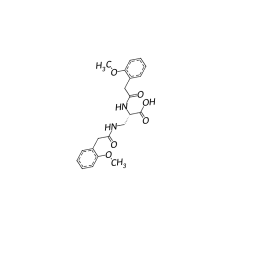 COc1ccccc1CC(=O)NC[C@H](NC(=O)Cc1ccccc1OC)C(=O)O